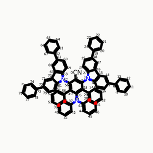 N#Cc1c(-n2c3ccc(-c4ccccc4)cc3c3cc(-c4ccccc4)ccc32)c(-c2ccccc2)c(N(c2ccccc2)c2ccccc2)c(-c2ccccc2)c1-n1c2ccc(-c3ccccc3)cc2c2cc(-c3ccccc3)ccc21